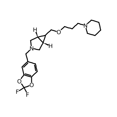 FC1(F)Oc2ccc(CN3C[C@@H]4C(COCCCN5CCCCC5)[C@@H]4C3)cc2O1